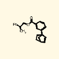 CC(C)C(C)COC(=O)c1cccc(C23C=CC(CC2)C3)c1